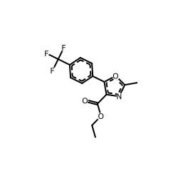 CCOC(=O)c1nc(C)oc1-c1ccc(C(F)(F)F)cc1